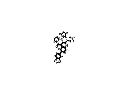 C[Si](C)(C)CCc1cc(C(=O)N2CCC[C@H]2CN2CCCC2)c2cc(-c3ccc4c(c3)OCO4)ccc2n1